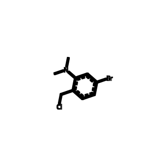 CN(C)c1cc(Br)ccc1CCl